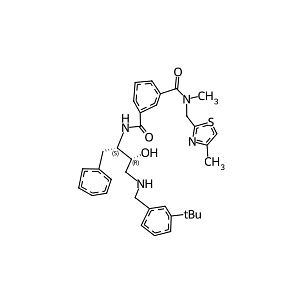 Cc1csc(CN(C)C(=O)c2cccc(C(=O)N[C@@H](Cc3ccccc3)[C@H](O)CNCc3cccc(C(C)(C)C)c3)c2)n1